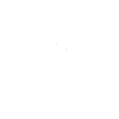 COc1cc(OC)c2c(=O)cc(-c3ccccc3Cl)oc2c1C1CCN(C)C1CO.NC(CCC(=O)O)C(=O)O